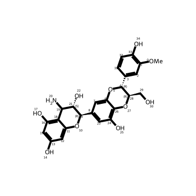 COc1cc([C@H]2Oc3cc([C@H]4Oc5cc(O)cc(O)c5C(N)[C@@H]4O)cc(O)c3O[C@@H]2CO)ccc1O